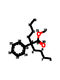 CCCCC(CCCC)(C(=O)OC)c1ccccc1